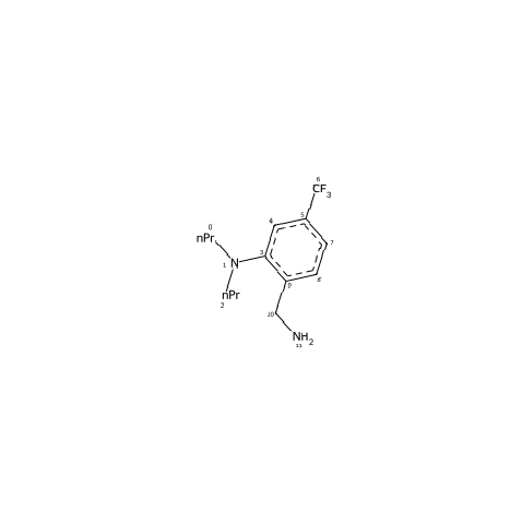 CCCN(CCC)c1cc(C(F)(F)F)ccc1CN